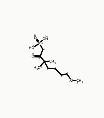 COCCCCC(C)(C)C(=O)CP(=O)(O)O